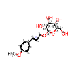 COc1ccc(/C=C/CO[C@@H]2O[C@H](CO)[C@@H](O)[C@H](O)[C@H]2O)cc1